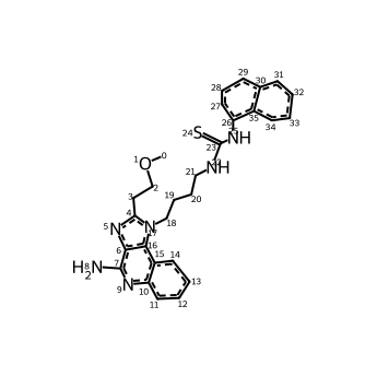 COCCc1nc2c(N)nc3ccccc3c2n1CCCCNC(=S)Nc1cccc2ccccc12